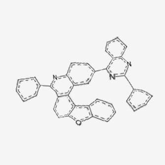 c1ccc(-c2nc(-c3ccc4nc(-c5ccccc5)c5ccc6oc7ccccc7c6c5c4c3)c3ccccc3n2)cc1